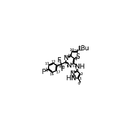 Cc1cc(Nc2nc(C(F)(F)c3ccc(F)cc3)nc3cc(C(C)(C)C)sc23)n[nH]1